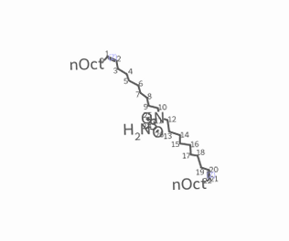 CCCCCCCC/C=C\CCCCCCCCN(CCCCCCCC/C=C\CCCCCCCC)S(N)(=O)=O